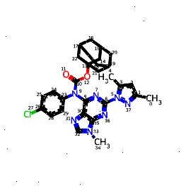 Cc1cc(C)n(-c2nc(N(C(=O)OC34CC5CC(CC(C5)C3)C4)c3ccc(Cl)cc3)c3ncn(C)c3n2)n1